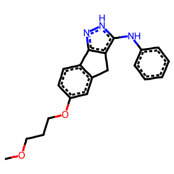 COCCCOc1ccc2c(c1)Cc1c-2n[nH]c1Nc1ccccc1